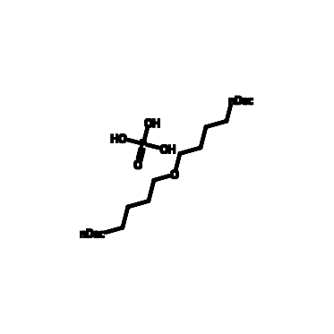 CCCCCCCCCCCCCCOCCCCCCCCCCCCCC.O=P(O)(O)O